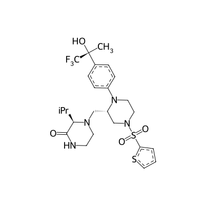 CC(C)[C@@H]1C(=O)NCCN1C[C@H]1CN(S(=O)(=O)c2cccs2)CCN1c1ccc([C@@](C)(O)C(F)(F)F)cc1